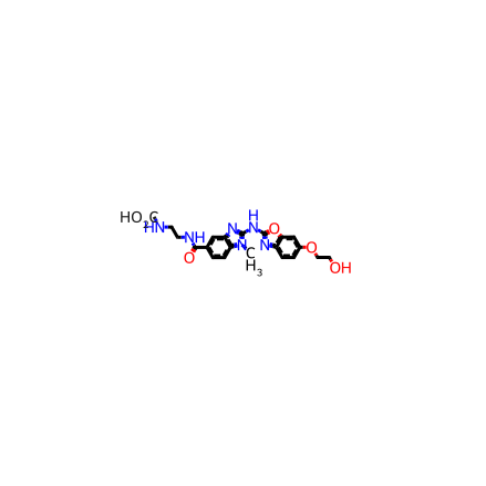 Cn1c(Nc2nc3ccc(OCCO)cc3o2)nc2cc(C(=O)NCCNC(=O)O)ccc21